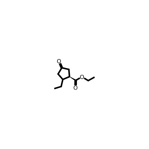 CCOC(=O)[C@@H]1CC(=O)CC1CC